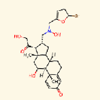 C[C@]12C=CC(=O)C=C1CC[C@H]1C3C[C@@H](CN(O)CC4=CCC(Br)O4)[C@H](C(=O)CO)[C@@]3(C)C[C@H](O)[C@@H]12